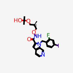 C[C@@H](CONC(=O)c1cc2ccncc2n1Cc1ccc(I)cc1F)COC(C)(C)O